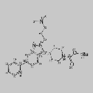 CN(C)CCCn1nc2cc(-c3ccccn3)ccc2c1C1CCN(C(=O)OC(C)(C)C)CC1